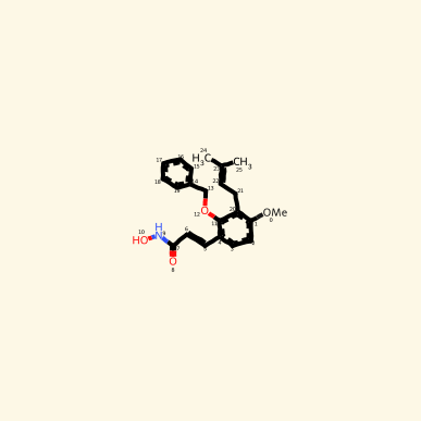 COc1ccc(/C=C/C(=O)NO)c(OCc2ccccc2)c1CC=C(C)C